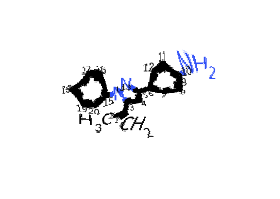 C=C(C)c1cc(-c2ccc(N)cc2)nn1-c1ccccc1